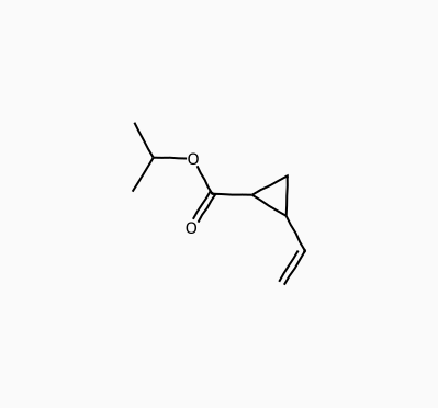 C=CC1CC1C(=O)OC(C)C